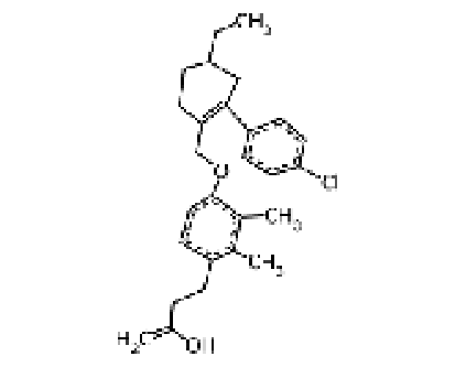 C=C(O)CCc1ccc(OCC2=C(c3ccc(Cl)cc3)CC(CC)CC2)c(C)c1C